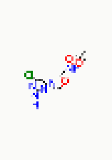 CNc1nc(Cl)cc(N2CCO[C@H](CNC(=O)OC(C)(C)C)C2)n1